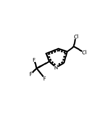 FC(F)(F)c1ccc(C(Cl)Cl)cn1